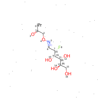 CC(C)C(=O)CO/N=C/[C@H](F)[C@@H](O)[C@H](O)[C@H](O)CO